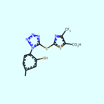 Cc1ccc(-n2nnnc2Sc2nc(C(F)(F)F)c(C(=O)O)s2)c(S)c1